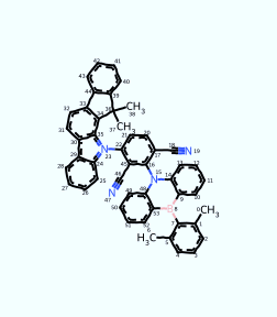 Cc1cccc(C)c1B1c2ccccc2N(c2c(C#N)ccc(-n3c4ccccc4c4ccc5c(c43)C(C)(C)c3ccccc3-5)c2C#N)c2ccccc21